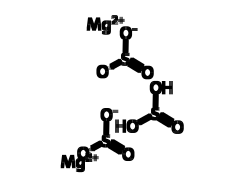 O=S(O)O.O=S([O-])[O-].O=S([O-])[O-].[Mg+2].[Mg+2]